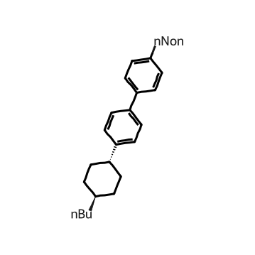 CCCCCCCCCc1ccc(-c2ccc([C@H]3CC[C@H](CCCC)CC3)cc2)cc1